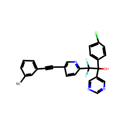 N#Cc1cccc(C#Cc2ccc(C(F)(F)C(O)(c3ccc(Cl)cc3)c3cncnc3)nc2)c1